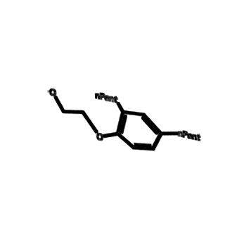 CCCCCc1ccc(OCC[O])c(CCCCC)c1